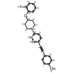 Oc1ccc(C#Cc2ccc(N3CCC(Oc4ccccc4F)CC3)nn2)cc1